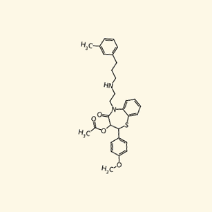 COc1ccc(C2Sc3ccccc3N(CCNCCCc3cccc(C)c3)C(=O)C2OC(C)=O)cc1